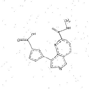 CNC(=O)c1ccc2cncc(-c3ccc(C(=O)O)s3)c2n1